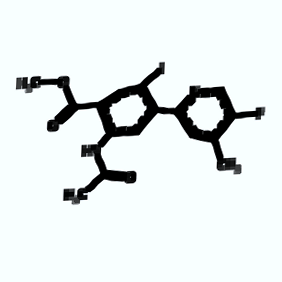 COC(=O)c1cc(I)c(-c2cc(C)c(F)cn2)cc1NC(C)=O